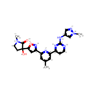 Cc1cc(-c2cc(C3(O)CCN(C)C3=O)on2)nc(-c2ccnc(Nc3cnn(C)c3)n2)c1